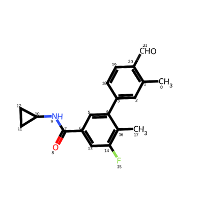 Cc1cc(-c2cc(C(=O)NC3CC3)cc(F)c2C)ccc1C=O